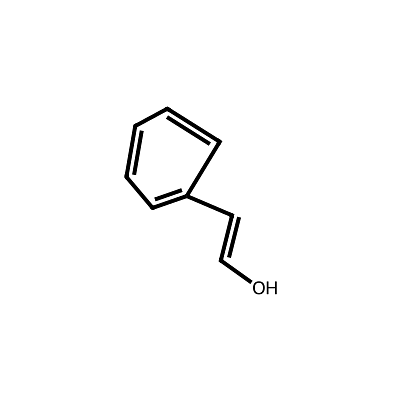 O/C=C/c1ccccc1